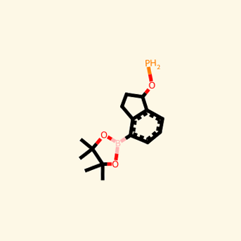 CC1(C)OB(c2cccc3c2CCC3OP)OC1(C)C